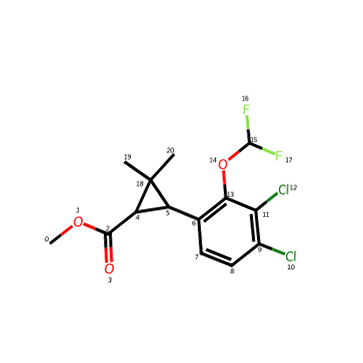 COC(=O)C1C(c2ccc(Cl)c(Cl)c2OC(F)F)C1(C)C